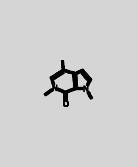 Cc1cn(C)c(=O)c2c1ccn2C